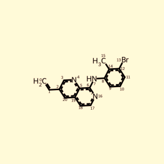 C=Cc1cnc2c(Nc3cccc(Br)c3C)nccc2c1